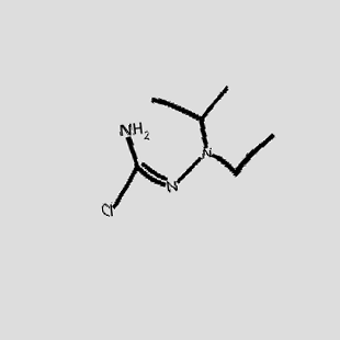 CCN(/N=C(\N)Cl)C(C)C